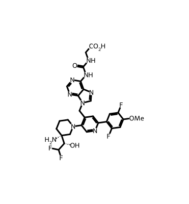 COc1cc(F)c(-c2cc(Cn3cnc4c(NC(=O)NCC(=O)O)ncnc43)c(N3CCC[C@](N)([C@H](O)C(F)F)C3)cn2)cc1F